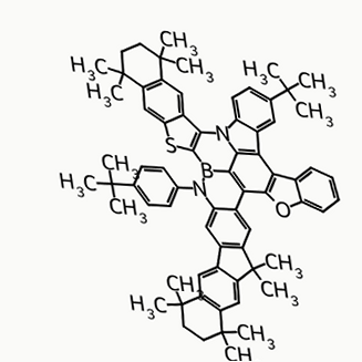 CC(C)(C)c1ccc(N2B3c4sc5cc6c(cc5c4-n4c5ccc(C(C)(C)C)cc5c5c7c(oc8ccccc87)c(c3c54)-c3cc4c(cc32)-c2cc3c(cc2C4(C)C)C(C)(C)CCC3(C)C)C(C)(C)CCC6(C)C)cc1